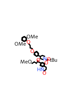 COCCCC(OC1CN(C(=O)OC(C)(C)C)CCC1c1ccc(OCCCCOc2c(OC)cccc2OC)cc1)c1ccc2c(c1)NC(=O)CC2